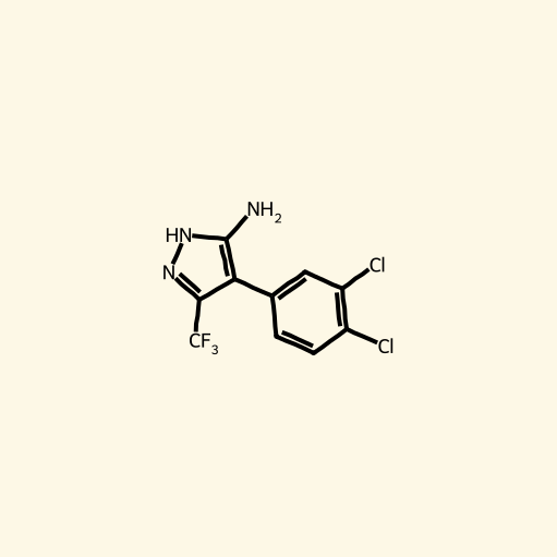 Nc1[nH]nc(C(F)(F)F)c1-c1ccc(Cl)c(Cl)c1